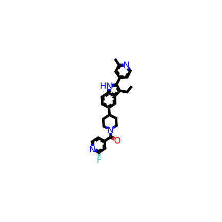 CCc1c(-c2ccnc(C)c2)[nH]c2ccc(C3CCN(C(=O)c4ccnc(F)c4)CC3)cc12